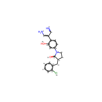 N=C/C(=C\N)c1ccc(N2CCC(Cc3ccccc3Cl)C2=O)cc1O